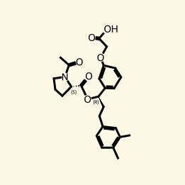 CC(=O)N1CCC[C@H]1C(=O)O[C@H](CCc1ccc(C)c(C)c1)c1cccc(OCC(=O)O)c1